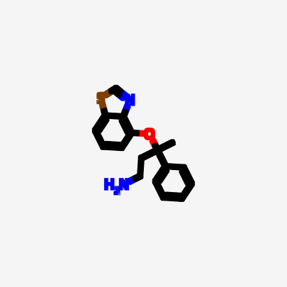 CC(CCN)(Oc1cccc2scnc12)c1ccccc1